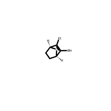 CCC1=C(C(C)(C)C)[C@H]2CC[C@@H]1O2